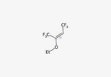 CCO/C(=C/C(F)(F)F)C(F)(F)F